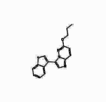 [CH2]CCOc1ccc2ncc(-c3csc4ccccc34)n2n1